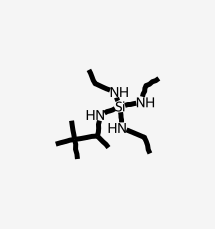 CCN[Si](NCC)(NCC)NC(C)C(C)(C)C